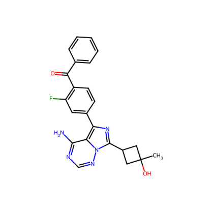 CC1(O)CC(c2nc(-c3ccc(C(=O)c4ccccc4)c(F)c3)c3c(N)ncnn23)C1